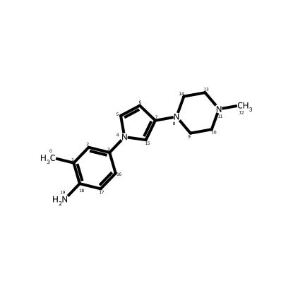 Cc1cc(-n2ccc(N3CCN(C)CC3)c2)ccc1N